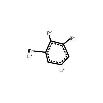 CC(C)c1cccc(C(C)C)c1[P-2].[Li+].[Li+]